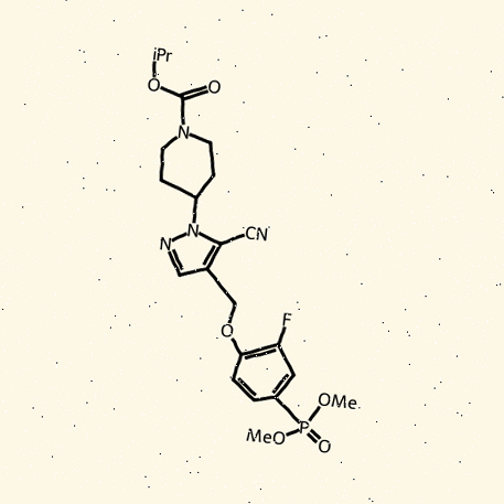 COP(=O)(OC)c1ccc(OCc2cnn(C3CCN(C(=O)OC(C)C)CC3)c2C#N)c(F)c1